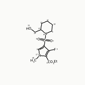 CCOC(=O)c1c(F)c(S(=O)(=O)N2CCCCC2CO)cn1C